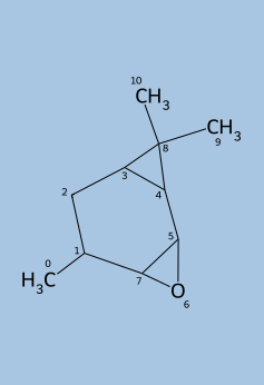 CC1CC2C(C3OC13)C2(C)C